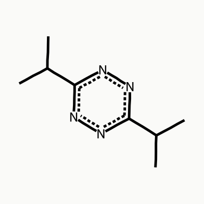 CC(C)c1nnc(C(C)C)nn1